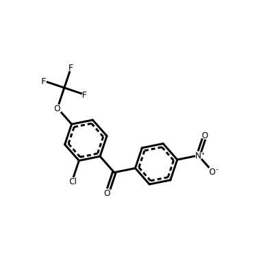 O=C(c1ccc([N+](=O)[O-])cc1)c1ccc(OC(F)(F)F)cc1Cl